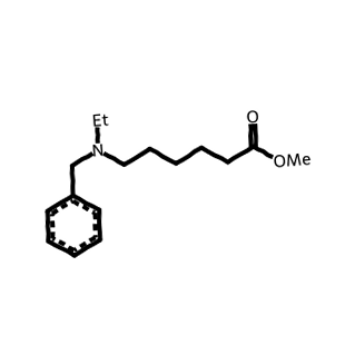 CCN(CCCCCC(=O)OC)Cc1ccccc1